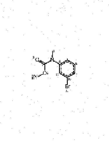 CC(C)OC(=O)N(C)c1cccc(Br)c1